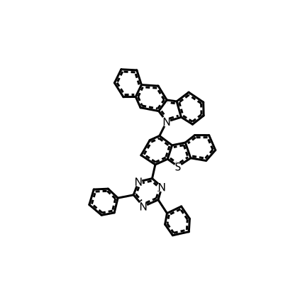 c1ccc(-c2nc(-c3ccccc3)nc(-c3ccc(-n4c5ccccc5c5cc6ccccc6cc54)c4c3sc3ccccc34)n2)cc1